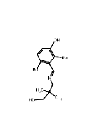 CC(C)(CO)CN=Cc1c(C(C)(C)C)ccc(O)c1C(C)(C)C